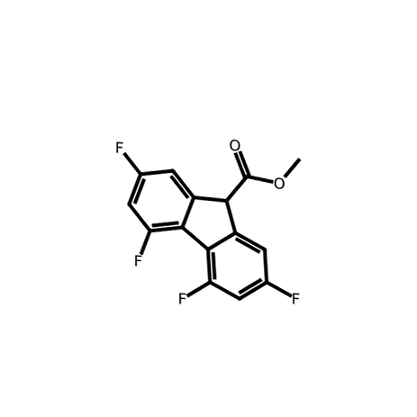 COC(=O)C1c2cc(F)cc(F)c2-c2c(F)cc(F)cc21